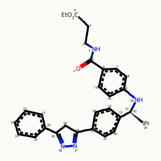 CCOC(=O)CCNC(=O)c1ccc(N[C@H](c2ccc(C3=NN=C(c4ccccc4)C3)cc2)C(C)C)cc1